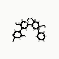 Cc1ccc(-c2cc(-c3cc(-c4ccccc4)c(C)cc3C)[n+](C)cc2C)c(C)c1